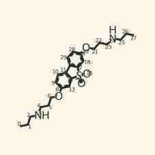 CCCNCCCOc1ccc2c(c1)S(=O)(=O)c1cc(OCCCNCCC)ccc1-2